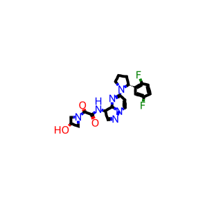 O=C(NC1C=NN2C=CC(N3CCC[C@@H]3c3cc(F)ccc3F)=NC12)C(=O)N1CC(O)C1